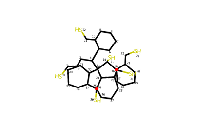 S[CH]CCC(C1CCCCC1CS)C([C](S)C1CCCCC1CS)(C1CCCCC1CS)C1CCCCC1CS